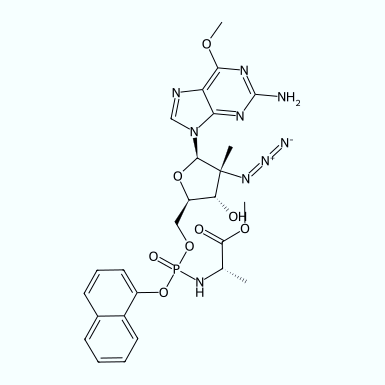 COC(=O)[C@H](C)NP(=O)(OC[C@H]1O[C@@H](n2cnc3c(OC)nc(N)nc32)[C@](C)(N=[N+]=[N-])[C@@H]1O)Oc1cccc2ccccc12